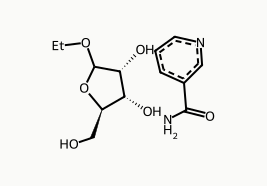 CCOC1O[C@H](CO)[C@@H](O)[C@H]1O.NC(=O)c1cccnc1